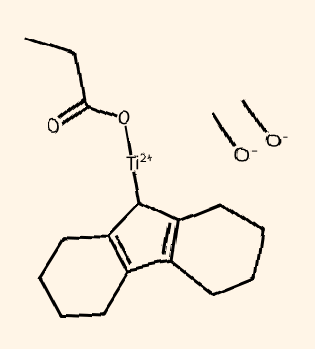 CCC(=O)[O][Ti+2][CH]1C2=C(CCCC2)C2=C1CCCC2.C[O-].C[O-]